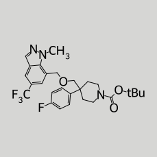 Cn1ncc2cc(C(F)(F)F)cc(COCC3(c4ccc(F)cc4)CCN(C(=O)OC(C)(C)C)CC3)c21